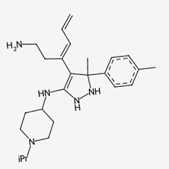 C=C/C=C(\CCN)C1=C(NC2CCN(C(C)C)CC2)NNC1(C)c1ccc(C)cc1